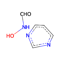 O=CNO.c1cncnc1